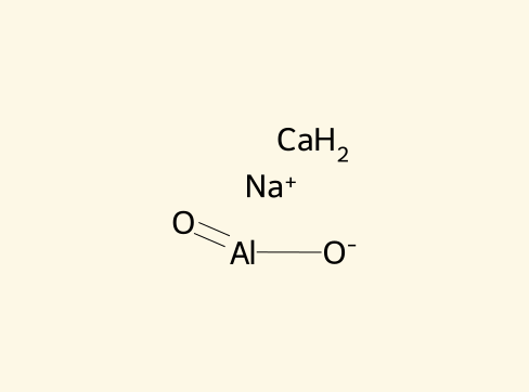 [CaH2].[Na+].[O]=[Al][O-]